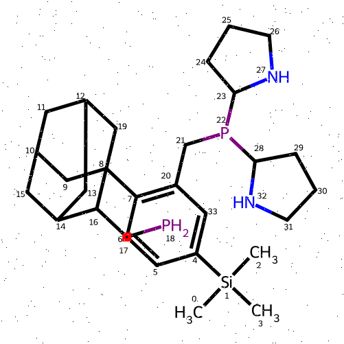 C[Si](C)(C)c1ccc(C23CC4CC(CC(C4)C2CP)C3)c(CP(C2CCCN2)C2CCCN2)c1